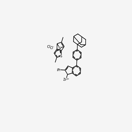 CC(C)C1=Cc2c(-c3ccc(C45CC6CC(CC(C6)C4)C5)cc3)cccc2[CH]1[Zr+2].CC1=C2c3sc(C)cc3C1[Si]2(C)C.[Cl-].[Cl-]